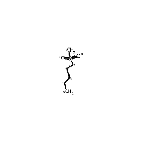 [CH2]CCCCS([CH2])(=O)=O